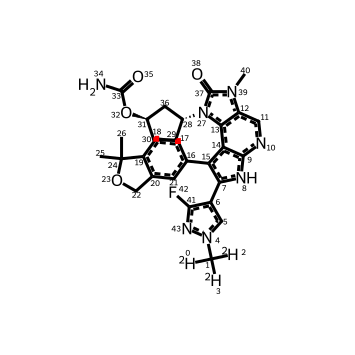 [2H]C([2H])([2H])n1cc(-c2[nH]c3ncc4c(c3c2-c2ccc3c(c2)COC3(C)C)n([C@@H]2CC[C@@H](OC(N)=O)C2)c(=O)n4C)c(F)n1